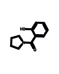 O=C(c1ccccc1O)N1CCCC1